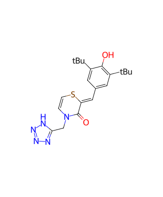 CC(C)(C)c1cc(C=C2SC=CN(Cc3nnn[nH]3)C2=O)cc(C(C)(C)C)c1O